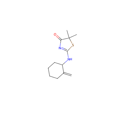 C=C1CCCCC1NC1=NC(=O)C(C)(C)S1